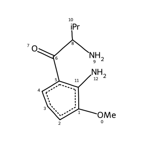 COc1cccc(C(=O)C(N)C(C)C)c1N